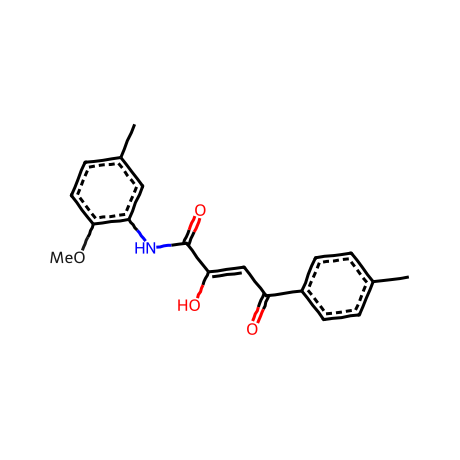 COc1ccc(C)cc1NC(=O)/C(O)=C/C(=O)c1ccc(C)cc1